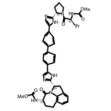 COC(=O)N[C@H]1CCc2cccc3c2N(C1=O)[C@H](c1ncc(-c2ccc(-c4ccc(-c5cnc([C@@H]6CCCN6C(=O)[C@@H](NC(=O)OC)C(C)C)[nH]5)cc4)cc2)[nH]1)C3